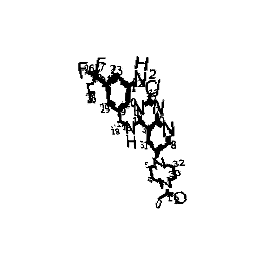 CC(=O)N1CCN(c2cnc3nc(Cl)nc(N[C@H](C)c4cc(N)cc(C(F)(F)F)c4)c3c2)CC1